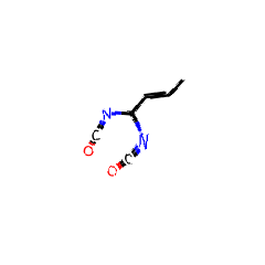 CC=CC(N=C=O)N=C=O